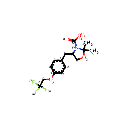 CC1(C)OCC(Cc2ccc(OCC(F)(F)F)cc2)N1C(=O)O